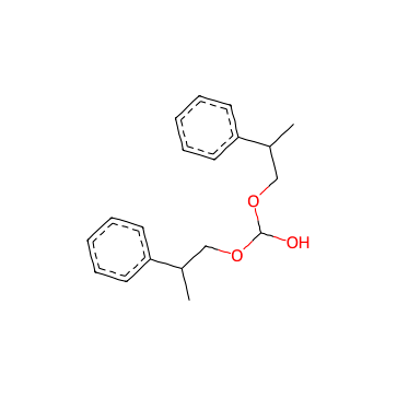 CC(COC(O)OCC(C)c1ccccc1)c1ccccc1